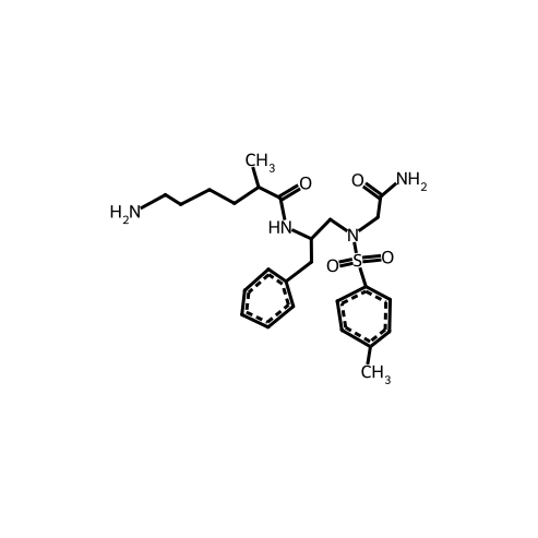 Cc1ccc(S(=O)(=O)N(CC(N)=O)CC(Cc2ccccc2)NC(=O)C(C)CCCCN)cc1